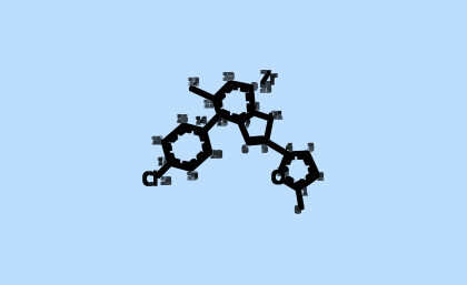 Cc1ccc(C2=Cc3c(ccc(C)c3-c3ccc(Cl)cc3)[CH]2)o1.[Zr]